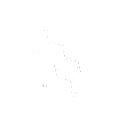 Cc1cc(O)c(C(C)C)cc1O[I+2]([O-])[O-]